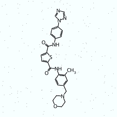 Cc1cc(CN2CCOCC2)ccc1NC(=O)c1ccc(C(=O)Nc2ccc(-n3cncn3)cc2)s1